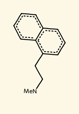 CNCCc1cccc2ccccc12